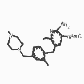 CCCCCc1cc(Cc2ccc(CN3CCN(C)CC3)cc2C)c(C)nc1N